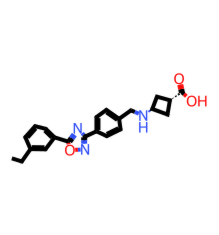 CCc1cccc(-c2nc(-c3ccc(CN[C@H]4C[C@@H](C(=O)O)C4)cc3)no2)c1